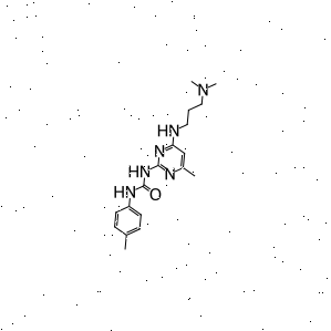 Cc1ccc(NC(=O)Nc2nc(C)cc(NCCCN(C)C)n2)cc1